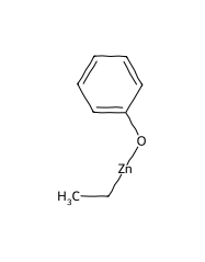 C[CH2][Zn][O]c1ccccc1